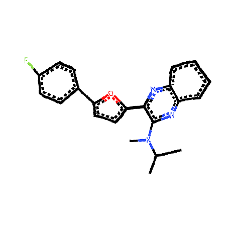 CC(C)N(C)c1nc2ccccc2nc1-c1ccc(-c2ccc(F)cc2)o1